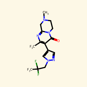 CN1CCn2c(nc(C(F)(F)F)c(-c3cnn(CC(F)(F)C(F)(F)F)c3)c2=O)C1